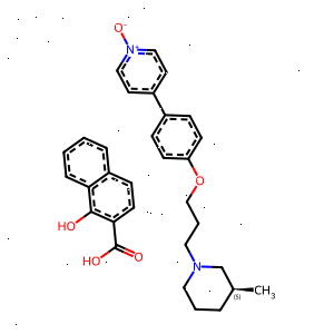 C[C@H]1CCCN(CCCOc2ccc(-c3cc[n+]([O-])cc3)cc2)C1.O=C(O)c1ccc2ccccc2c1O